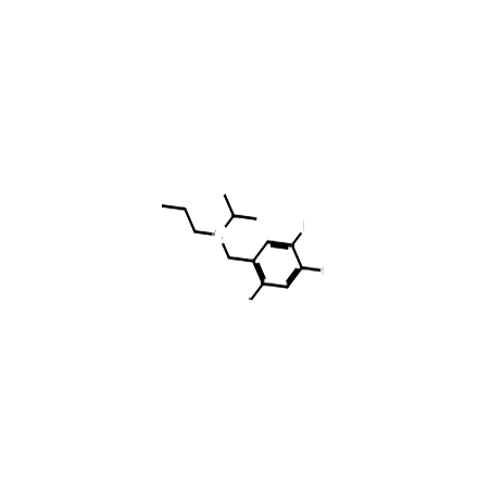 CCCN(Cc1cc(F)c(F)cc1Cl)C(C)C